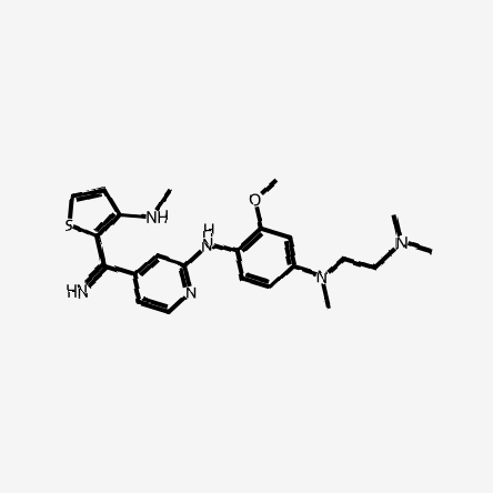 CNc1ccsc1C(=N)c1ccnc(Nc2ccc(N(C)CCN(C)C)cc2OC)c1